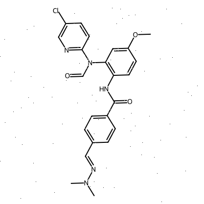 COc1ccc(NC(=O)c2ccc(C=NN(C)C)cc2)c(N(C=O)c2ccc(Cl)cn2)c1